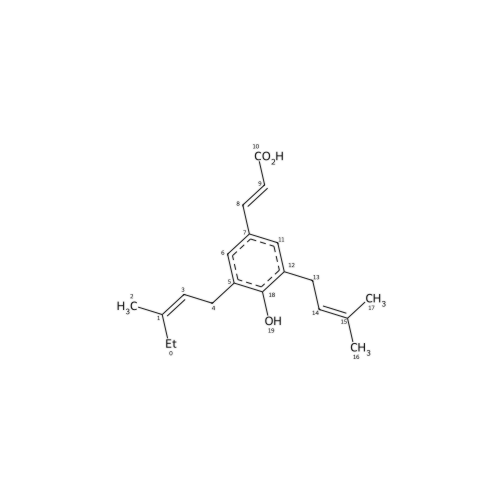 CC/C(C)=C\Cc1cc(/C=C/C(=O)O)cc(CC=C(C)C)c1O